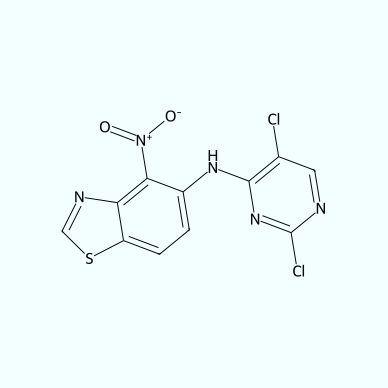 O=[N+]([O-])c1c(Nc2nc(Cl)ncc2Cl)ccc2scnc12